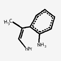 CCC/C=C(/C)c1ccccc1N